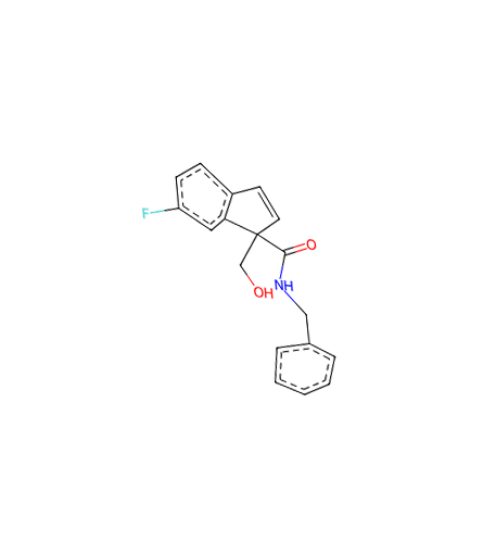 O=C(NCc1ccccc1)C1(CO)C=Cc2ccc(F)cc21